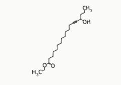 CCCC(O)C#CCCCCCCCCCCCC(=O)OCC